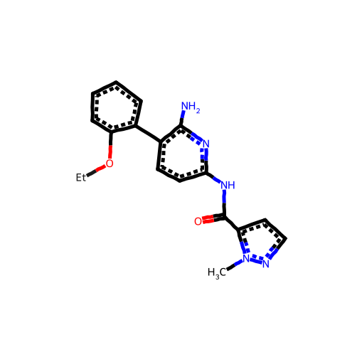 CCOc1ccccc1-c1ccc(NC(=O)c2ccnn2C)nc1N